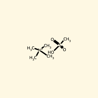 CS(=O)(=O)O.C[N+](C)(C)C